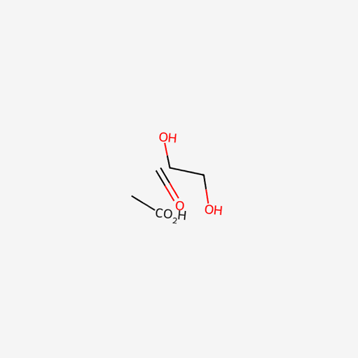 C=O.CC(=O)O.OCCO